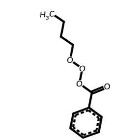 CCCCOOOC(=O)c1ccccc1